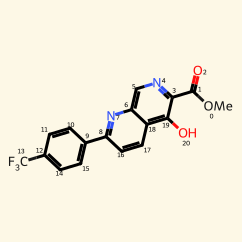 COC(=O)c1ncc2nc(-c3ccc(C(F)(F)F)cc3)ccc2c1O